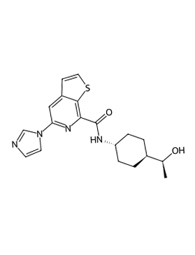 C[C@H](O)[C@H]1CC[C@H](NC(=O)c2nc(-n3ccnc3)cc3ccsc23)CC1